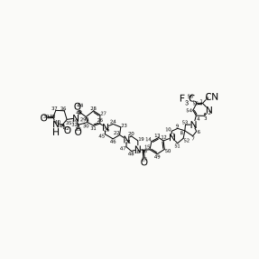 N#Cc1ncc(N2CCC3(CCN(c4ccc(C(=O)N5CCN(C6CCN(c7ccc8c(c7)C(=O)N(C7CCC(=O)NC7=O)C8=O)CC6)CC5)cc4)CC3)C2)cc1C(F)(F)F